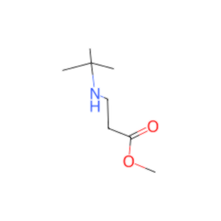 COC(=O)CCNC(C)(C)C